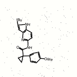 COc1ccc(C2(C(=O)Nc3ccc4[nH]c(C(C)(C)C)cc4n3)CC2)cc1